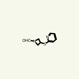 O=CN1CC(Sc2ccccn2)C1